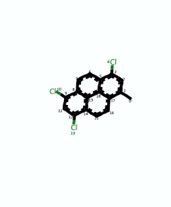 Cc1cc(Cl)c2ccc3c(Cl)cc(Cl)c4ccc1c2c43